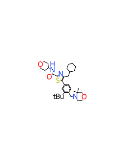 CC(C)(C)c1cc(-c2sc(C(=O)NC3CCOCC3)nc2CC2CCCCC2)ccc1CN1CCOCC1(C)C